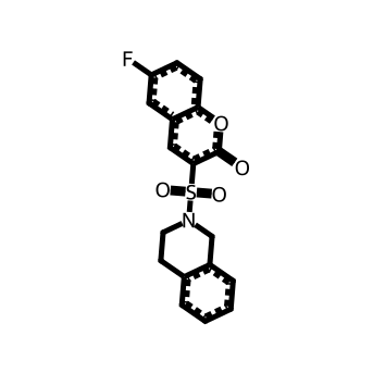 O=c1oc2ccc(F)cc2cc1S(=O)(=O)N1CCc2ccccc2C1